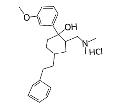 COc1cccc(C2(O)CCC(CCc3ccccc3)CC2CN(C)C)c1.Cl